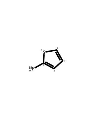 [18F]c1cccs1